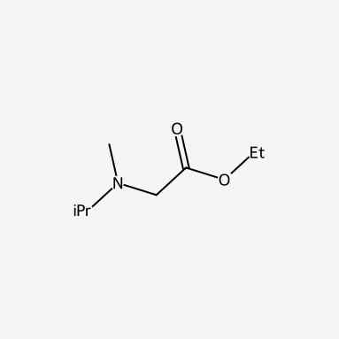 CCOC(=O)CN(C)C(C)C